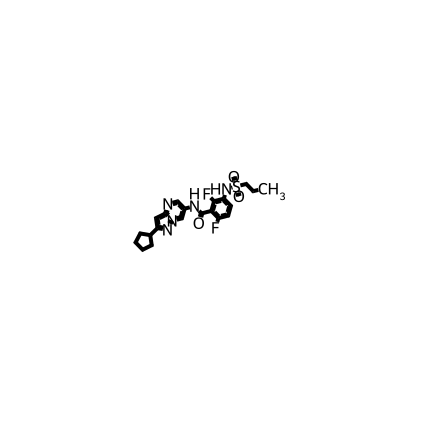 CCCS(=O)(=O)Nc1ccc(F)c(C(=O)Nc2cnc3cc(C4CCCC4)nn3c2)c1F